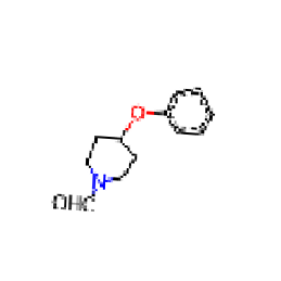 O=CN1CCC(Oc2ccccc2)CC1